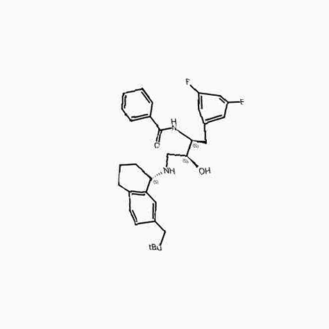 CC(C)(C)Cc1ccc2c(c1)[C@@H](NC[C@H](O)[C@H](Cc1cc(F)cc(F)c1)NC(=O)c1ccccc1)CCC2